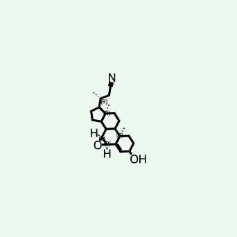 C[C@H](CC#N)C1CCC2C3C(CC[C@@]21C)[C@@]1(C)CCC(O)C=C1[C@H]1O[C@@H]31